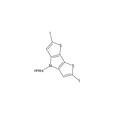 CCCCCCn1c2cc(I)sc2c2sc(I)cc21